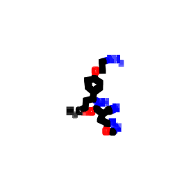 CCCC(NC(O)C(C#N)Cc1nnco1)C1=CCC(OCCN)C=C1